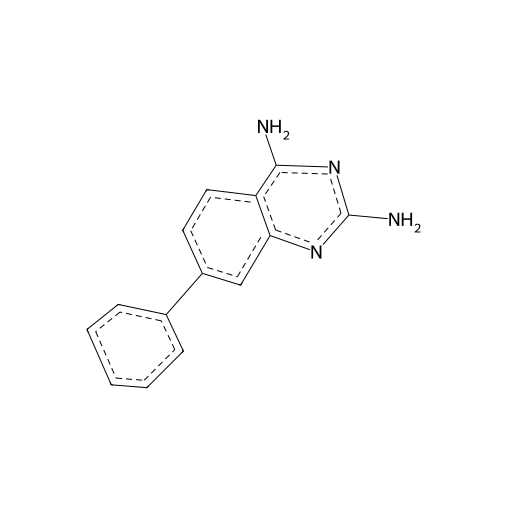 Nc1nc(N)c2ccc(-c3ccccc3)cc2n1